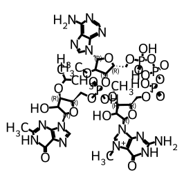 COC1[C@@H](OP(=O)(O)OC[C@H]2O[C@@H](n3cnc4c(=O)[nH]c(C)nc43)C(O)[C@H]2OC(C)C)[C@@H](COP(=O)(O)OP(=O)(O)OP(=O)(O)OC[C@H]2O[C@@H](n3c[n+](C)c4c(=O)[nH]c(N)nc43)C(O)[C@H]2OC)O[C@H]1n1cnc2c(N)ncnc21